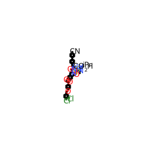 Cc1nc(NCC(C)C)sc1S(=O)(=O)N1Cc2cc3c(cc2C[C@H]1C(=O)N[C@@H](Cc1ccc(-c2ccc(C#N)cc2)cc1)C(=O)O)OC[C@H](c1ccc(OCc2ccc(Cl)c(Cl)c2)cc1)O3